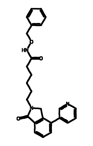 O=C(CCCCCN1Cc2c(cccc2-c2cccnc2)C1=O)NOCc1ccccc1